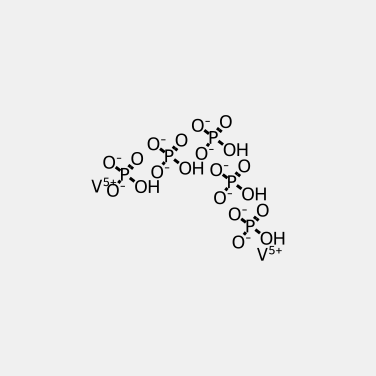 O=P([O-])([O-])O.O=P([O-])([O-])O.O=P([O-])([O-])O.O=P([O-])([O-])O.O=P([O-])([O-])O.[V+5].[V+5]